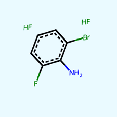 F.F.Nc1c(F)cccc1Br